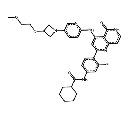 COCCOC1CN(c2ccc(Nc3cc(-c4ccc(NC(=O)C5CCCCC5)cc4F)nc4cc[nH]c(=O)c34)nc2)C1